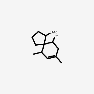 CCC1CC(C)=CC(C)C12CCCC2OC(C)=O